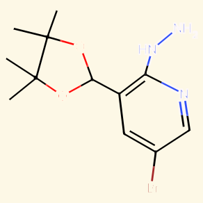 CC1(C)OC(c2cc(Br)cnc2NN)OC1(C)C